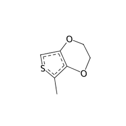 Cc1scc2c1OCCO2